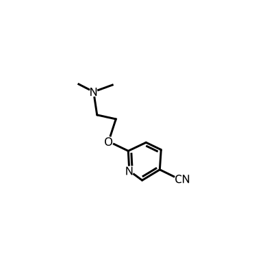 CN(C)CCOc1ccc(C#N)cn1